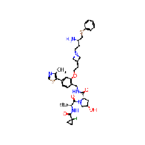 Cc1ncsc1-c1ccc(CNC(=O)[C@@H]2C[C@@H](O)CN2C(=O)[C@@H](NC(=O)C2(F)CC2)C(C)(C)C)c(OCCC2CN(CC[C@@H](N)CSc3ccccc3)C2)c1